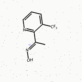 C/C(=N\O)c1ncccc1C(F)(F)F